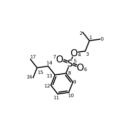 CC(C)COS(=O)(=O)c1ccccc1CC(C)C